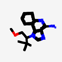 COCC(n1cnc2c(N)nc3ccccc3c21)C(C)(C)C